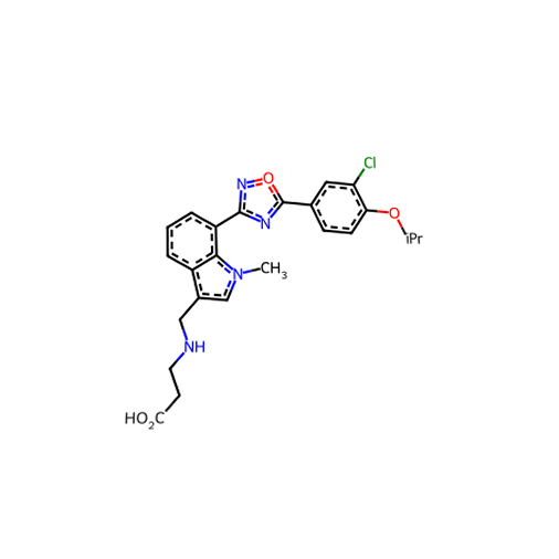 CC(C)Oc1ccc(-c2nc(-c3cccc4c(CNCCC(=O)O)cn(C)c34)no2)cc1Cl